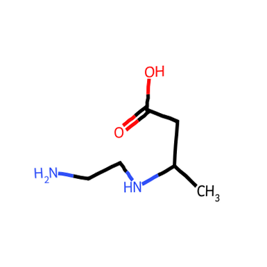 CC(CC(=O)O)NCCN